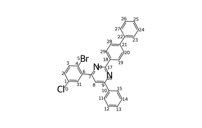 Clc1ccc(Br)c(-c2cc(-c3ccccc3)nc(-c3ccc(-c4ccccc4)cc3)n2)c1